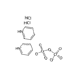 Cl.Cl.[O]=[Cr](=[O])([O-])[O][Cr](=[O])(=[O])[O-].c1cc[nH+]cc1.c1cc[nH+]cc1